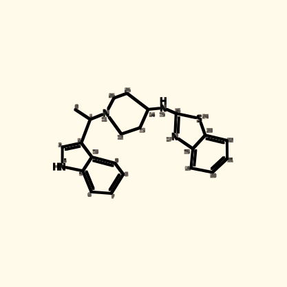 CC(c1c[nH]c2ccccc12)N1CCC(Nc2nc3ccccc3s2)CC1